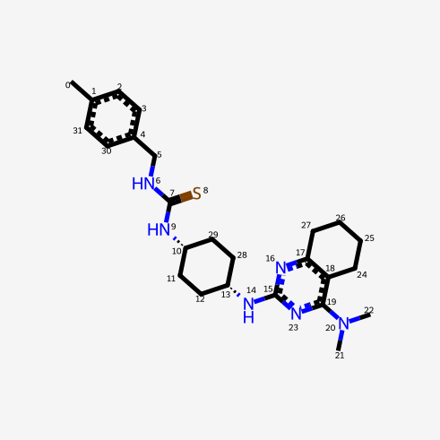 Cc1ccc(CNC(=S)N[C@H]2CC[C@@H](Nc3nc4c(c(N(C)C)n3)CCCC4)CC2)cc1